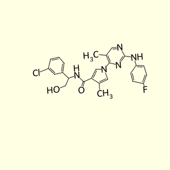 Cc1cn(-c2nc(Nc3ccc(F)cc3)ncc2C)cc1C(=O)NC(CO)c1cccc(Cl)c1